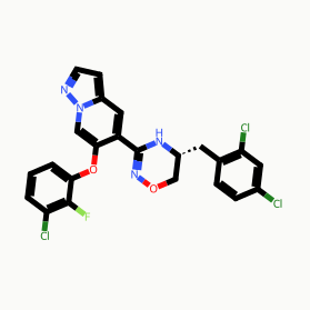 Fc1c(Cl)cccc1Oc1cn2nccc2cc1C1=NOC[C@@H](Cc2ccc(Cl)cc2Cl)N1